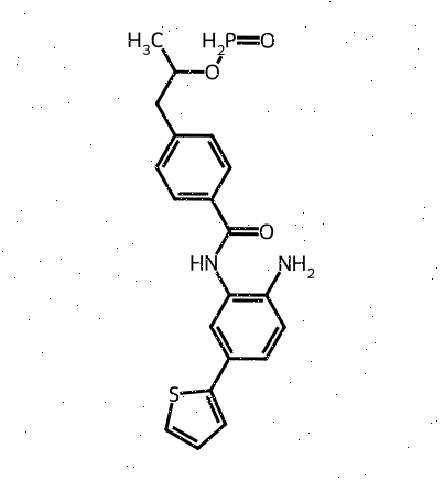 CC(Cc1ccc(C(=O)Nc2cc(-c3cccs3)ccc2N)cc1)O[PH2]=O